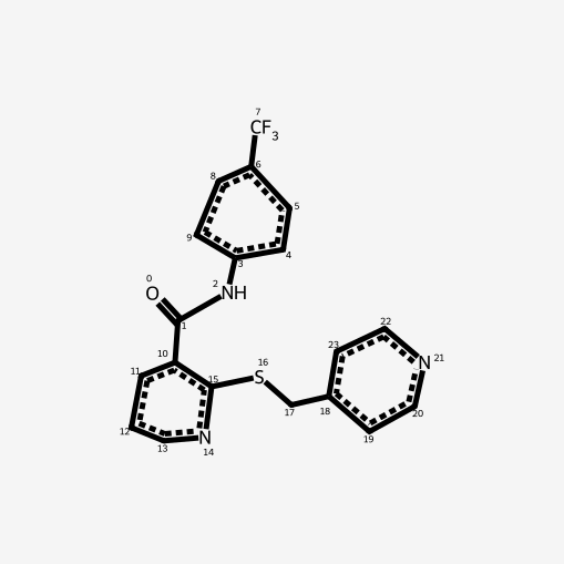 O=C(Nc1ccc(C(F)(F)F)cc1)c1cccnc1SCc1ccncc1